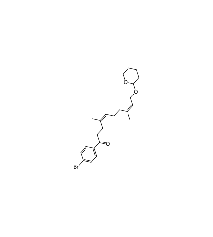 CC(=CCOC1CCCCO1)CCC=C(C)CCC(=O)c1ccc(Br)cc1